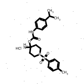 Cc1ccc(S(=O)(=O)N2CCC(N)(OC(=O)Nc3ccc(C(C)C)cc3)CC2)cc1.Cl